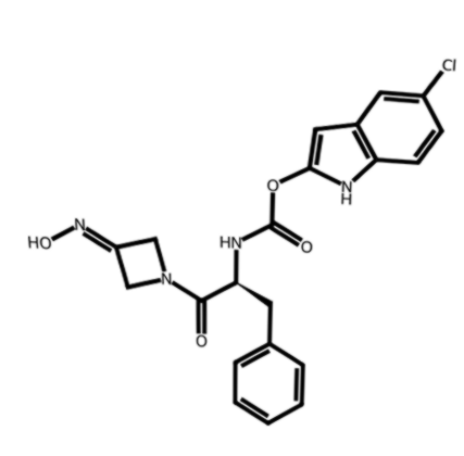 O=C(N[C@@H](Cc1ccccc1)C(=O)N1CC(=NO)C1)Oc1cc2cc(Cl)ccc2[nH]1